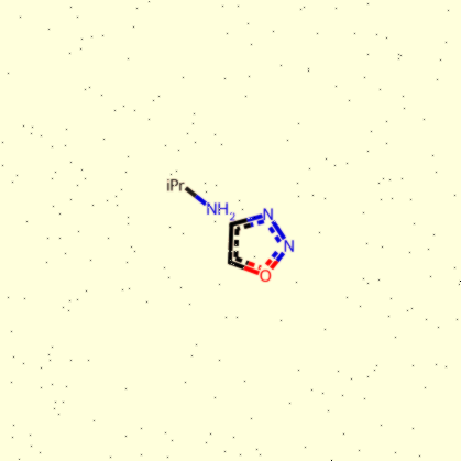 CC(C)N.c1conn1